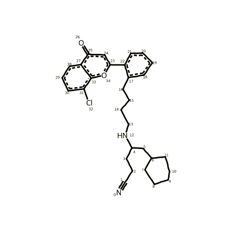 N#CCCC(CC1CCCCC1)NCCCCc1ccccc1-c1cc(=O)c2cccc(Cl)c2o1